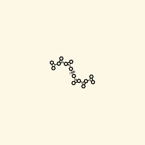 O=S(=O)(c1ccc(-n2c3ccccc3c3cc(-n4c5ccccc5c5cc(C6c7ccccc7-c7ccccc76)ccc54)ccc32)cc1)c1ccc(-n2c3ccccc3c3cc(-n4c5ccccc5c5cc(-n6c7ccccc7c7ccccc76)ccc54)ccc32)cc1